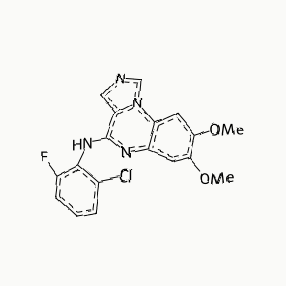 COc1cc2nc(Nc3c(F)cccc3Cl)c3cncn3c2cc1OC